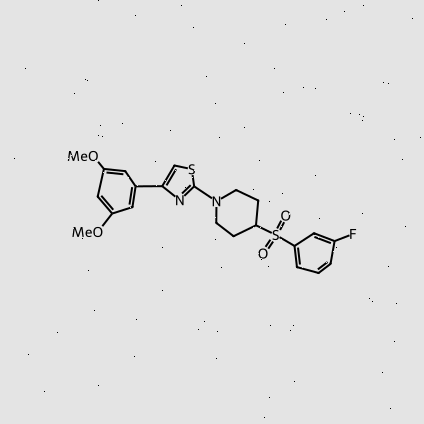 COc1cc(OC)cc(-c2csc(N3CCC(S(=O)(=O)c4cccc(F)c4)CC3)n2)c1